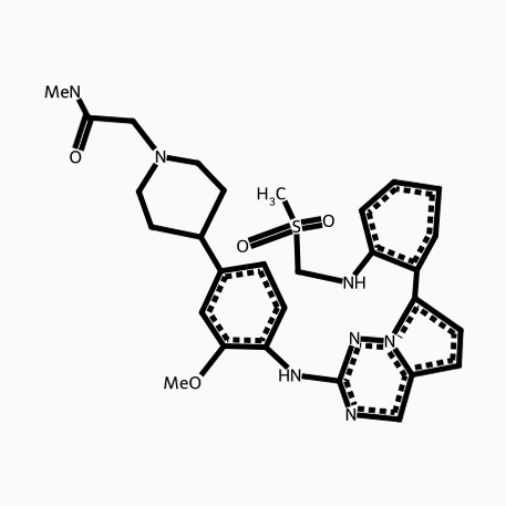 CNC(=O)CN1CCC(c2ccc(Nc3ncc4ccc(-c5ccccc5NCS(C)(=O)=O)n4n3)c(OC)c2)CC1